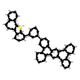 c1cc(-c2ccc3c(c2)c2ccccc2c2cc4c5ccccc5c5ccccc5c4cc32)cc(-c2cccc3c2sc2c4ccccc4ccc32)c1